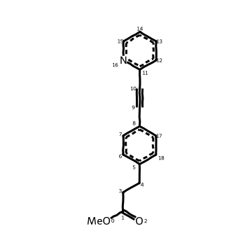 COC(=O)CCc1ccc(C#Cc2ccccn2)cc1